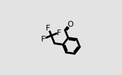 O=Cc1ccccc1CC(F)(F)F